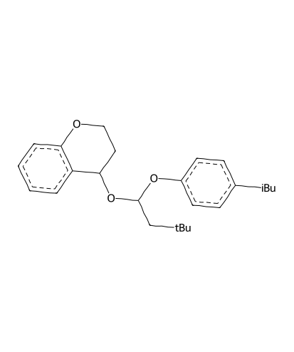 CCC(C)c1ccc(OC(CC(C)(C)C)OC2CCOc3ccccc32)cc1